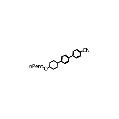 CCCCCOC1CCC(c2ccc(-c3ccc(C#N)cc3)cc2)CC1